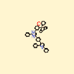 c1ccc(-c2ccc(-c3ccc(-c4cc(-c5ccc6c(c5)C5(c7ccccc7O6)c6ccccc6-c6ccccc65)nc(-c5ccccc5)n4)cc3)c(-c3ccccc3)n2)cc1